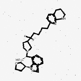 O=C(O)[C@@H](c1cccc2cnn([C@H]3CCOC3)c12)N1CCC(C(F)(F)CCCCc2ccc3c(n2)NCCC3)C1